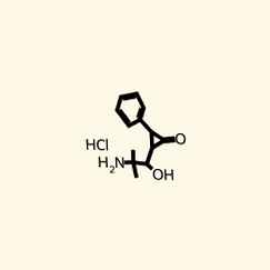 CC(C)(N)C(O)C1C(=O)C1c1ccccc1.Cl